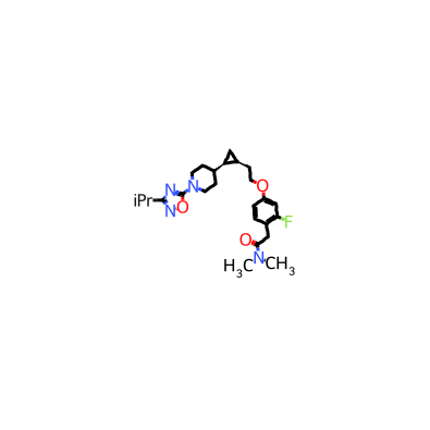 CC(C)c1noc(N2CCC([C@H]3C[C@H]3CCOc3ccc(CC(=O)N(C)C)c(F)c3)CC2)n1